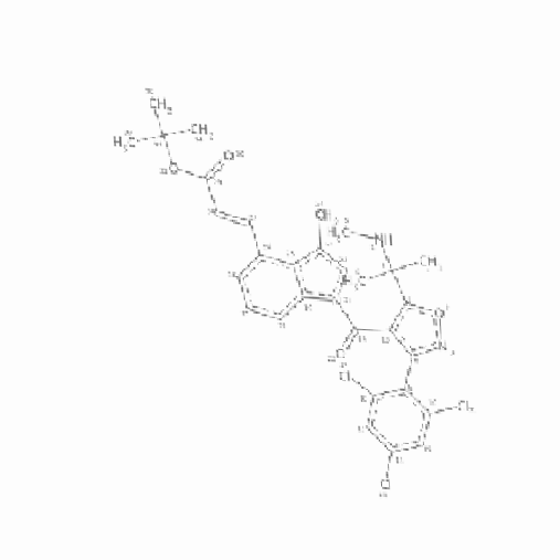 CNC(C)(C)c1onc(-c2c(Cl)cc(Cl)cc2Cl)c1C(=O)n1cc(C)c2c(/C=C/C(=O)OC(C)(C)C)cccc21